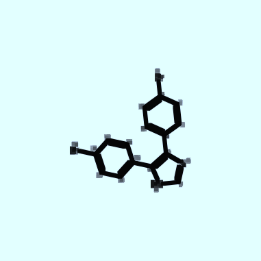 Brc1ccc(-c2nc[nH]c2-c2ccc(Br)cc2)cc1